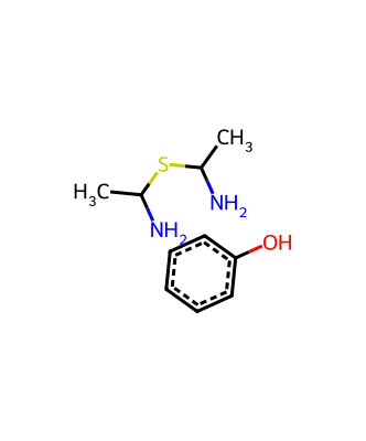 CC(N)SC(C)N.Oc1ccccc1